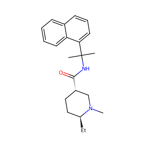 CC[C@H]1CC[C@H](C(=O)NC(C)(C)c2cccc3ccccc23)CN1C